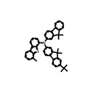 Cc1cccc2c1sc1c(N(c3ccc4c(c3)C(C)(C)c3ccccc3-4)c3ccc4c(c3)C(C)(C)c3cc(C(C)(C)C)ccc3-4)cccc12